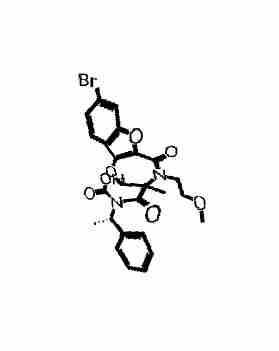 COCCN1C(=O)c2oc3cc(Br)ccc3c2OCC1(C)C(=O)N(C(=O)O)[C@@H](C)c1ccccc1